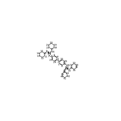 c1cc(-c2ccc(CN(CC3CCCCC3)CC3CCCCC3)cc2)ccc1CN(CC1CCCCC1)CC1CCCCC1